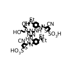 CCN(CC)c1ccc(/N=N/c2sc(S(=O)(=O)O)cc2C#N)c(Nc2nc(Nc3cc(N(CC)CC)ccc3/N=N/c3sc(S(=O)(=O)O)cc3C#N)nc(N(CCO)CCO)n2)c1